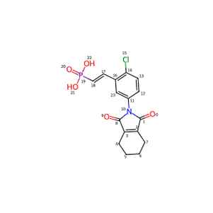 O=C1C2=C(CCCC2)C(=O)N1c1ccc(Cl)c(C=CP(=O)(O)O)c1